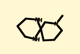 CN1CCCC2(C1)NCCCN2